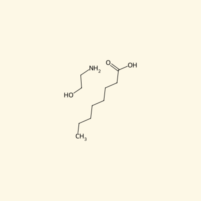 CCCCCCCC(=O)O.NCCO